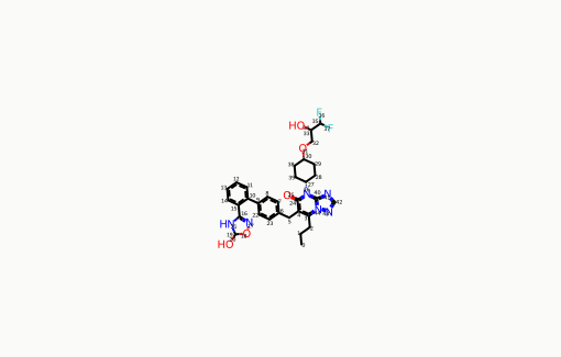 CCCc1c(Cc2ccc(-c3ccccc3C3=NOC(O)N3)cc2)c(=O)n([C@H]2CC[C@H](OCC(O)C(F)F)CC2)c2ncnn12